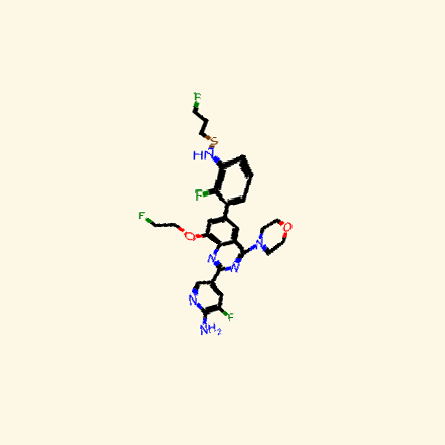 Nc1ncc(-c2nc(N3CCOCC3)c3cc(-c4cccc(NSCCCF)c4F)cc(OCCF)c3n2)cc1F